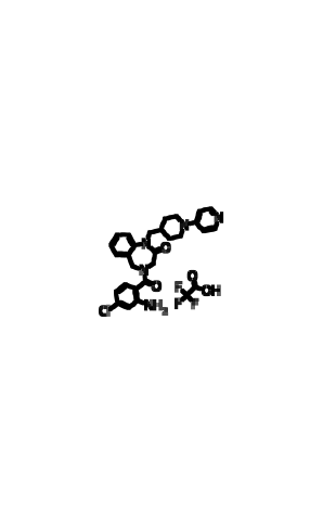 Nc1cc(Cl)ccc1C(=O)N1CC(=O)N(CC2CCN(c3ccncc3)CC2)c2ccccc2C1.O=C(O)C(F)(F)F